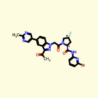 CC(=O)c1nn(CC(=O)N2C[C@H](F)C[C@H]2C(=O)Nc2cccc(Br)n2)c2ccc(-c3cnc(C)nc3)cc12